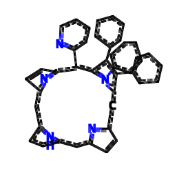 C1=Cc2cc3c(-c4ccccc4)c(-c4ccccc4)c(c(-c4ccccn4)c4nc(cc5ccc(cc1n2)[nH]5)C=C4)n3-c1ccccc1